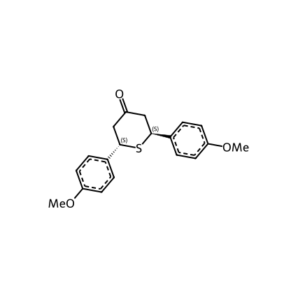 COc1ccc([C@@H]2CC(=O)C[C@@H](c3ccc(OC)cc3)S2)cc1